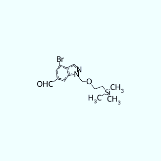 C[Si](C)(C)CCOCn1ncc2c(Br)cc(C=O)cc21